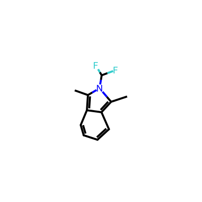 Cc1c2ccccc2c(C)n1C(F)F